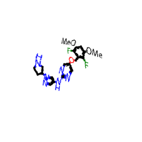 COc1cc(OC)c(F)c(COc2cnc(Nc3cnn(C4CCNC4)c3)nc2)c1F